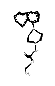 CCOC(=O)NN1CCN(c2cccc3ccccc23)CC1